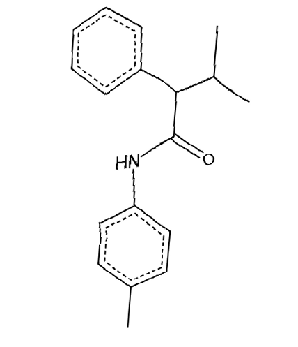 Cc1ccc(NC(=O)C(c2ccccc2)C(C)C)cc1